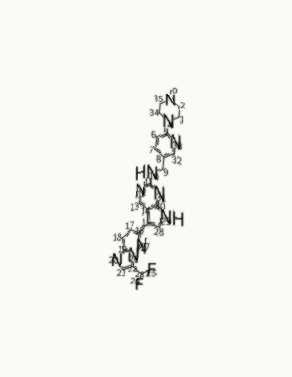 CN1CCN(c2ccc(CNc3ncc4c(-c5ccc6ncc(C(F)F)n6n5)c[nH]c4n3)cn2)CC1